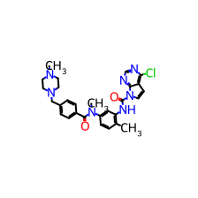 Cc1ccc(N(C)C(=O)c2ccc(CN3CCN(C)CC3)cc2)cc1NC(=O)n1ccc2c(Cl)ncnc21